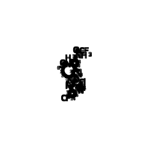 C[C@@H]1CCC[C@H](n2cnc(-c3cc(Cl)ccc3-n3cc(Cl)nn3)cc2=O)c2cncc(c2)-c2ccc(CNC(=O)C(F)(F)F)cc2NC1=O